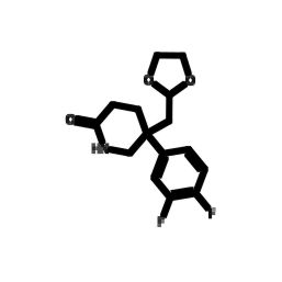 O=C1CCC(CC2OCCO2)(c2ccc(F)c(F)c2)CN1